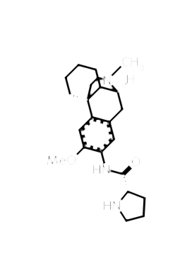 COc1cc2c(cc1NC(=O)[C@@H]1CCCN1)C[C@H]1C3CCCC[C@@]23CCN1C